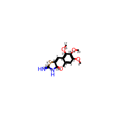 COc1cc(C)c(/C=C2/SC(=N)NC2=O)c(OC)c1OC